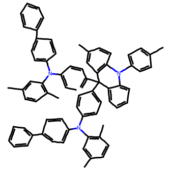 C=C(/C=C\C(=C/C)N(c1ccc(-c2ccccc2)cc1)c1cc(C)ccc1C)C1(c2ccc(N(c3ccc(-c4ccccc4)cc3)c3cc(C)ccc3C)cc2)c2ccccc2N(c2ccc(C)cc2)c2ccc(C)cc21